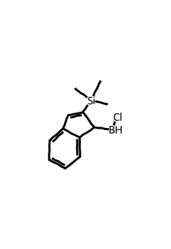 C[Si](C)(C)C1=Cc2ccccc2C1BCl